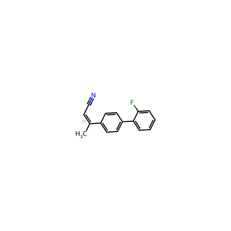 C/C(=C/C#N)c1ccc(-c2ccccc2F)cc1